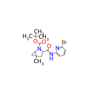 CC(C)(C)OC(=O)N1C(C(=O)Nc2cccc(Br)n2)CC2(C)CC12